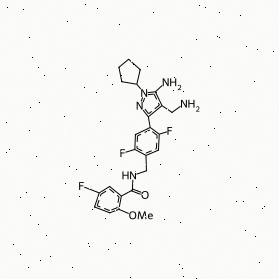 COc1ccc(F)cc1C(=O)NCc1cc(F)c(-c2nn(C3CCCC3)c(N)c2CN)cc1F